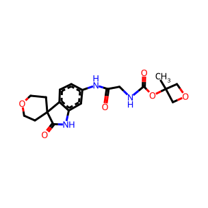 CC1(OC(=O)NCC(=O)Nc2ccc3c(c2)NC(=O)C32CCOCC2)COC1